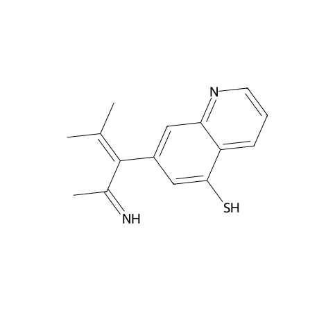 CC(=N)C(=C(C)C)c1cc(S)c2cccnc2c1